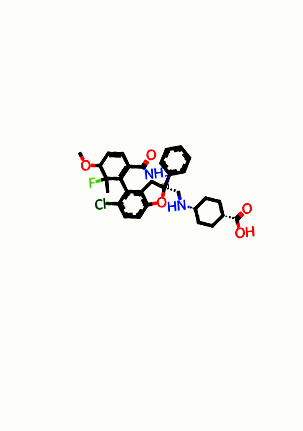 COC1C=CC(C(N)=O)=C(c2c(Cl)ccc3c2C[C@@](CN[C@H]2CC[C@@H](C(=O)O)CC2)(c2ccccc2)O3)C1(C)F